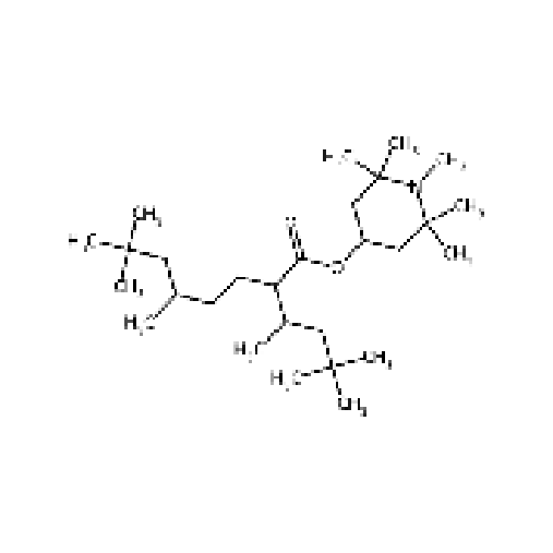 CC(CCC(C(=O)OC1CC(C)(C)N(C)C(C)(C)C1)C(C)CC(C)(C)C)CC(C)(C)C